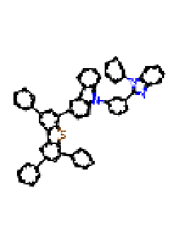 c1ccc(-c2cc(-c3ccccc3)c3sc4c(-c5ccc6c(c5)c5ccccc5n6-c5cccc(-c6nc7ccccc7n6-c6ccccc6)c5)cc(-c5ccccc5)cc4c3c2)cc1